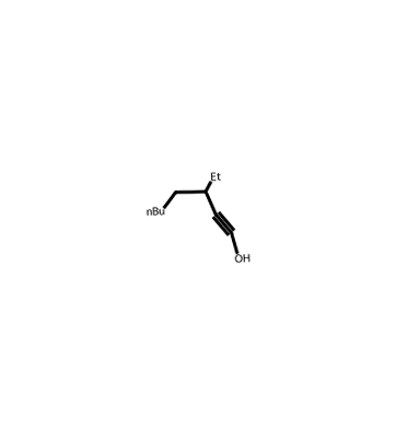 CCCCCC(C#CO)CC